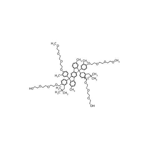 COCCOCCOCCOc1ccc(C2(c3ccc(COCCOCCOCCO)c(C[N+](C)(C)C)c3)c3cc(C)ccc3-c3cc4c(cc32)-c2ccc(C)cc2C4(c2ccc(OCCOCCOCCOC)c(C)c2)c2ccc(COCCOCCOCCO)c(C[N+](C)(C)C)c2)cc1C